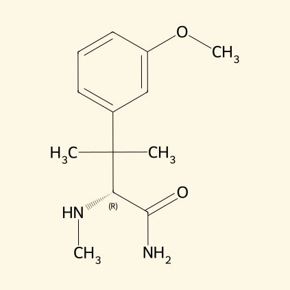 CN[C@@H](C(N)=O)C(C)(C)c1cccc(OC)c1